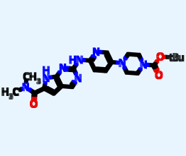 CN(C)C(=O)c1cc2cnc(Nc3ccc(N4CCN(C(=O)OC(C)(C)C)CC4)cn3)nc2[nH]1